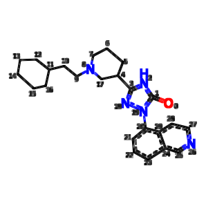 O=c1[nH]c(C2CCCN(CCC3CCCCC3)C2)nn1-c1cccc2cnccc12